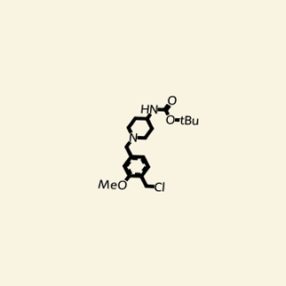 COc1cc(CN2CCC(NC(=O)OC(C)(C)C)CC2)ccc1CCl